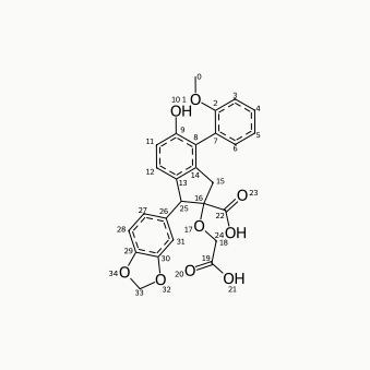 COc1ccccc1-c1c(O)ccc2c1CC(OCC(=O)O)(C(=O)O)C2c1ccc2c(c1)OCO2